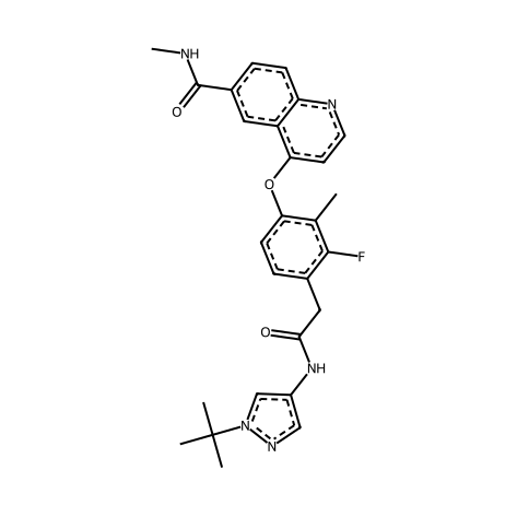 CNC(=O)c1ccc2nccc(Oc3ccc(CC(=O)Nc4cnn(C(C)(C)C)c4)c(F)c3C)c2c1